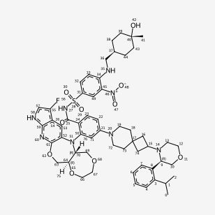 CC(C)c1ccccc1[C@@H]1COCCN1C1CC2(CCN(c3ccc(C(=O)NS(=O)(=O)c4ccc(NC[C@H]5CC[C@](C)(O)CC5)c([N+](=O)[O-])c4)c(N4c5cc6c(F)c[nH]c6nc5OC[C@@H]5OCCOC[C@H]54)c3)CC2)C1